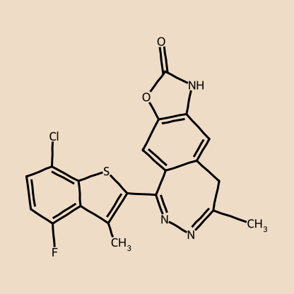 CC1=NN=C(c2sc3c(Cl)ccc(F)c3c2C)c2cc3oc(=O)[nH]c3cc2C1